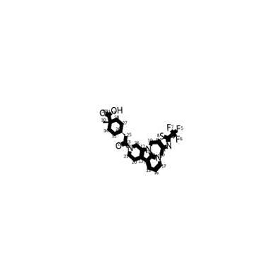 Cc1nc(C(F)(F)F)sc1Cn1c2c(c3cccnc31)CCN(C(=O)C[C@H]1CC[C@@](C)(C(=O)O)CC1)C2